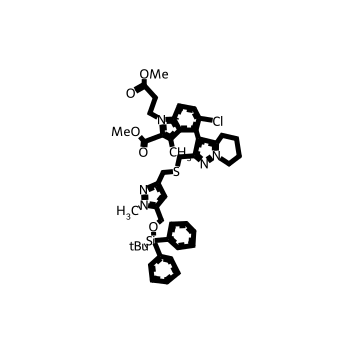 COC(=O)CCn1c(C(=O)OC)c(C)c2c(-c3c(CSCc4cc(CO[Si](c5ccccc5)(c5ccccc5)C(C)(C)C)n(C)n4)nn4c3CCCC4)c(Cl)ccc21